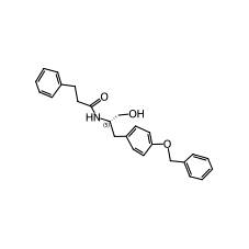 O=C(CCc1ccccc1)N[C@H](CO)Cc1ccc(OCc2ccccc2)cc1